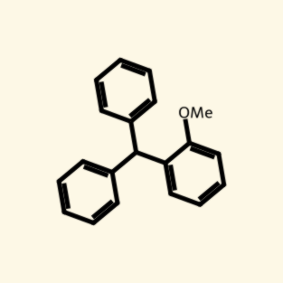 COc1ccccc1C(c1ccccc1)c1ccccc1